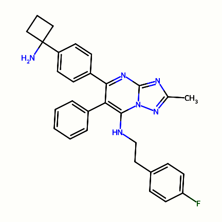 Cc1nc2nc(-c3ccc(C4(N)CCC4)cc3)c(-c3ccccc3)c(NCCc3ccc(F)cc3)n2n1